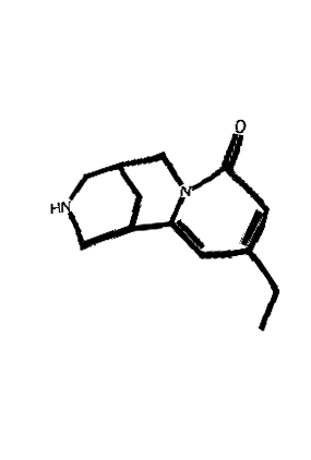 CCc1cc2n(c(=O)c1)CC1CNCC2C1